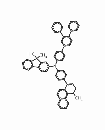 CC1CC=C(c2ccc(N(c3ccc(-c4ccc(-c5ccccc5)c(-c5ccccc5)c4)cc3)c3ccc4c(c3)C(C)(C)c3ccccc3-4)cc2)c2ccc3ccccc3c21